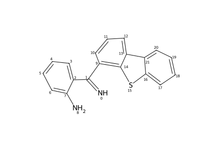 N=C(c1ccccc1N)c1cccc2c1sc1ccccc12